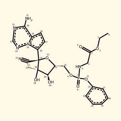 CCOC(=O)CNP(=O)(OC[C@H]1O[C@@](C#N)(c2ccc3c(N)ncnn23)[C@](C)(O)[C@@H]1O)Oc1ccccc1